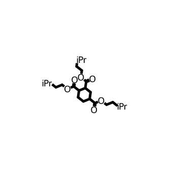 CC(C)CCOC(=O)C1CCC(C(=O)OCCC(C)C)C(C(=O)OCCC(C)C)C1